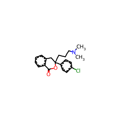 CN(C)CCCC1(c2ccc(Cl)cc2)Cc2ccccc2C(=O)O1